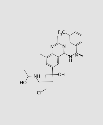 Cc1nc(N[C@H](C)c2cccc(C(F)(F)F)c2)c2cc(C3(O)CC(CCl)(CNC(C)O)C3)cc(C)c2n1